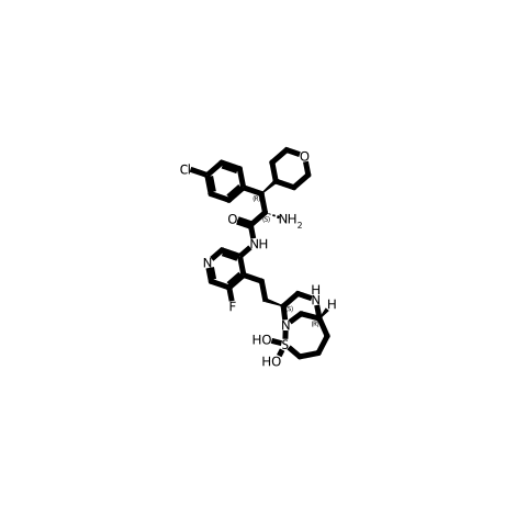 N[C@H](C(=O)Nc1cncc(F)c1CC[C@H]1CN[C@@H]2CCCS(O)(O)N1C2)[C@@H](c1ccc(Cl)cc1)C1CCOCC1